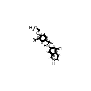 CCOc1ccc(C(=O)Nc2cc(Cl)c3c(c2)CNCC3)cc1Br